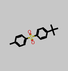 Cc1ccc(S(=O)(=O)c2ccc(C(C)(C)C)cc2)cc1